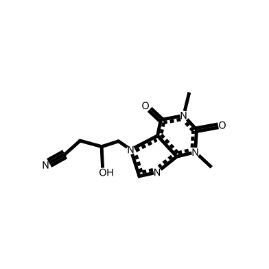 Cn1c(=O)c2c(ncn2CC(O)CC#N)n(C)c1=O